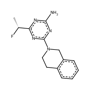 C[C@@H](F)c1nc(N)nc(N2CCc3ccccc3C2)n1